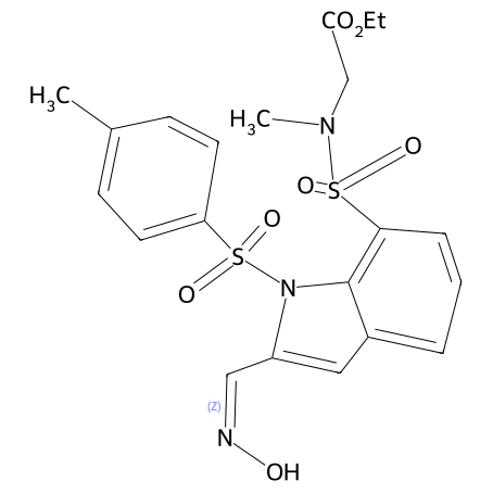 CCOC(=O)CN(C)S(=O)(=O)c1cccc2cc(/C=N\O)n(S(=O)(=O)c3ccc(C)cc3)c12